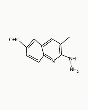 Cc1cc2cc(C=O)ccc2nc1NN